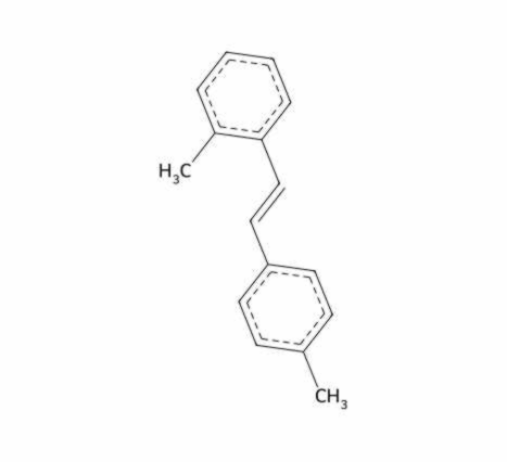 Cc1ccc(C=Cc2ccccc2C)cc1